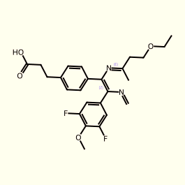 C=N/C(=C(\N=C(/C)CCOCC)c1ccc(CCC(=O)O)cc1)c1cc(F)c(OC)c(F)c1